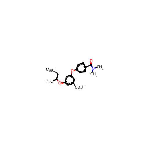 COCC(C)Oc1cc(Oc2ccc(C(=O)N(C)C)cc2)cc(C(=O)O)c1